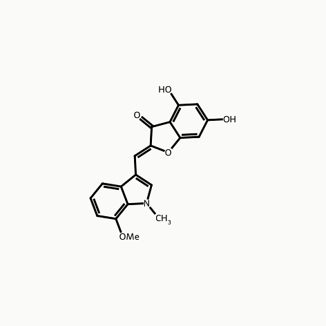 COc1cccc2c(C=C3Oc4cc(O)cc(O)c4C3=O)cn(C)c12